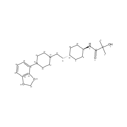 CC(C)(O)C(=O)N[C@H]1CC[C@H](CCN2CCN(c3cccc4c3OCO4)CC2)CC1